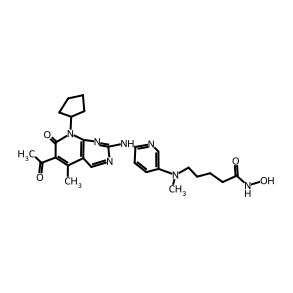 CC(=O)c1c(C)c2cnc(Nc3ccc(N(C)CCCCC(=O)NO)cn3)nc2n(C2CCCC2)c1=O